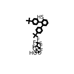 CC(C)(C)c1ccc(-c2cccc(S)c2-c2ccc(C(C)(C)C)cc2)cc1.O=S(=O)(O)C(F)(F)C(F)C(F)(F)F